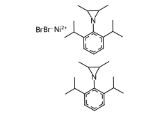 CC(C)c1cccc(C(C)C)c1N1C(C)C1C.CC(C)c1cccc(C(C)C)c1N1C(C)C1C.[Br-].[Br-].[Ni+2]